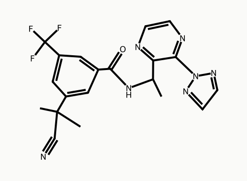 CC(NC(=O)c1cc(C(F)(F)F)cc(C(C)(C)C#N)c1)c1nccnc1-n1nccn1